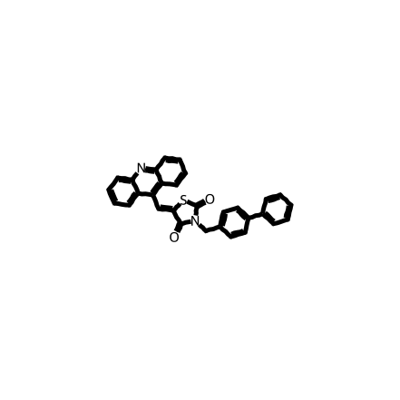 O=C1SC(=Cc2c3ccccc3nc3ccccc23)C(=O)N1Cc1ccc(-c2ccccc2)cc1